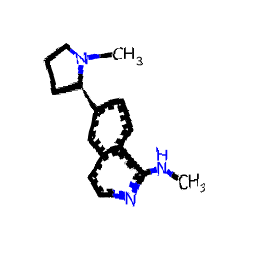 CNc1nccc2cc([C@H]3CCCN3C)ccc12